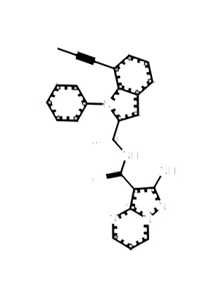 CC#Cc1cccc2cc([C@@H](C)NC(=O)c3c(N)nn4cccnc34)n(-c3ccccc3)c12